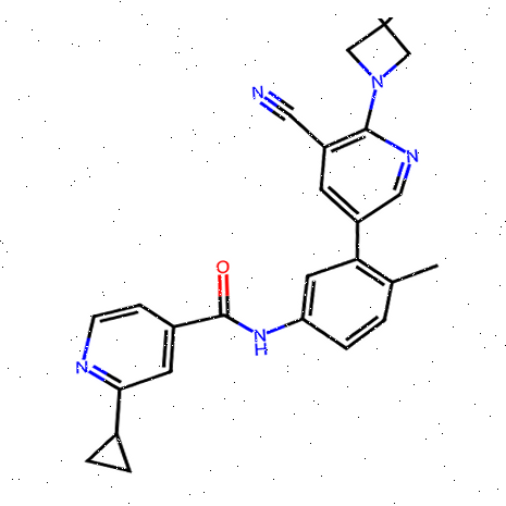 Cc1ccc(NC(=O)c2ccnc(C3CC3)c2)cc1-c1cnc(N2CC(C)(O)C2)c(C#N)c1